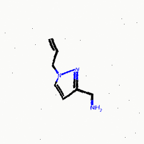 C=CCn1ccc(CN)n1